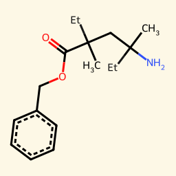 CCC(C)(N)CC(C)(CC)C(=O)OCc1ccccc1